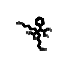 CCCCCCCCCCCCCCC(CCCCCCCCCCCCCC)(C(c1ccccc1)N(C)C)N(C)C